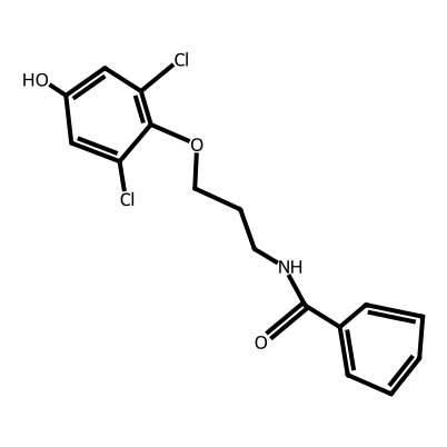 O=C(NCCCOc1c(Cl)cc(O)cc1Cl)c1ccccc1